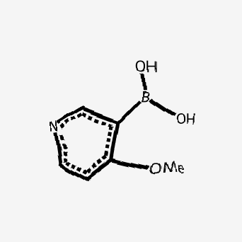 COc1ccncc1B(O)O